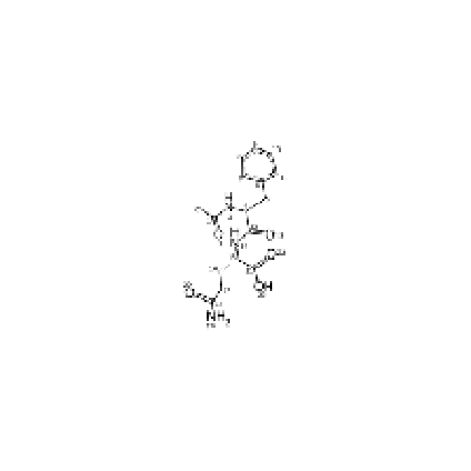 CC(=O)NC(Cc1[c]cccc1)C(=O)N[C@@H](CCC(N)=O)C(=O)O